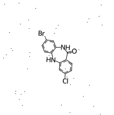 O=C1Nc2cc(Br)ccc2Nc2cc(Cl)ccc21